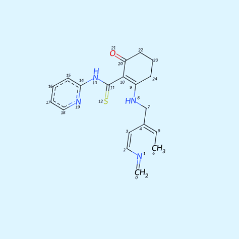 C=N/C=C\C(=C/C)CNC1=C(C(=S)Nc2ccccn2)C(=O)CCC1